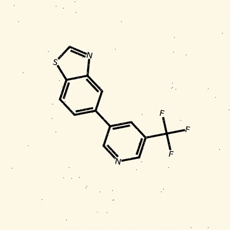 FC(F)(F)c1cncc(-c2ccc3scnc3c2)c1